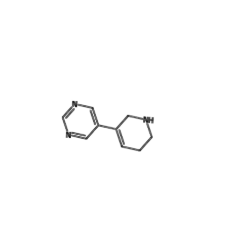 C1=C(c2cncnc2)CNCC1